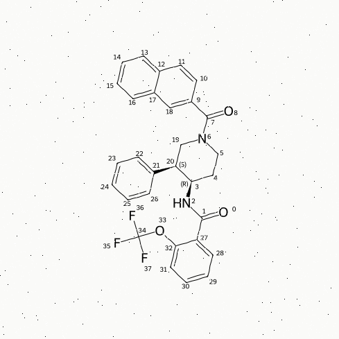 O=C(N[C@@H]1CCN(C(=O)c2ccc3ccccc3c2)C[C@@H]1c1ccccc1)c1ccccc1OC(F)(F)F